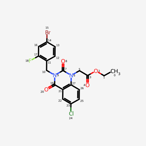 CCOC(=O)Cn1c(=O)n(Cc2ccc(Br)cc2F)c(=O)c2cc(Cl)ccc21